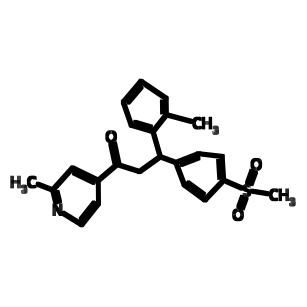 Cc1cc(C(=O)CC(c2ccc(S(C)(=O)=O)cc2)c2ccccc2C)ccn1